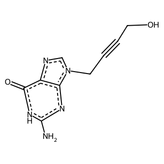 Nc1nc2c(ncn2CC#CCO)c(=O)[nH]1